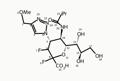 COCc1cn([C@H]2C(F)C(F)(C(=O)O)O[C@@H]([C@H](O)[C@H](O)CO)[C@@H]2NC(=O)C(C)C)nn1